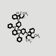 C=Cc1c(/C=C\C)c2c(n1C1C=CC3=C(C1)N(c1ccccc1)c1cccc4c1B3C1=C(C=C(n3c(/C=C\C)c(C)c5ccccc53)CC1)N4c1ccccc1)C=CCC2